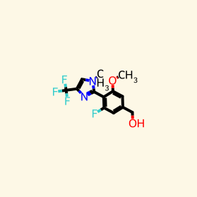 COc1cc(CO)cc(F)c1-c1nc(C(F)(F)F)cn1C